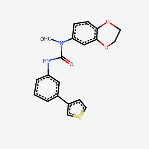 O=CN(C(=O)Nc1cccc(-c2ccsc2)c1)c1ccc2c(c1)OCCO2